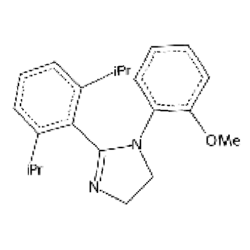 COc1ccccc1N1CCN=C1c1c(C(C)C)cccc1C(C)C